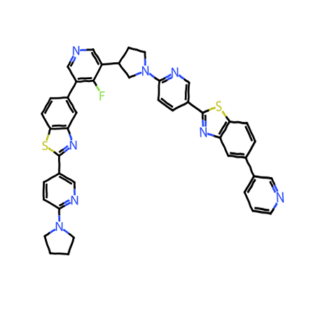 Fc1c(-c2ccc3sc(-c4ccc(N5CCCC5)nc4)nc3c2)cncc1C1CCN(c2ccc(-c3nc4cc(-c5cccnc5)ccc4s3)cn2)C1